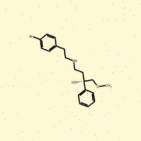 COC[C@](O)(CCNCCc1ccc(Br)cc1)c1ccccc1